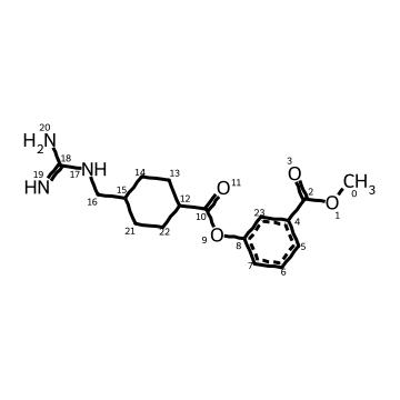 COC(=O)c1cccc(OC(=O)C2CCC(CNC(=N)N)CC2)c1